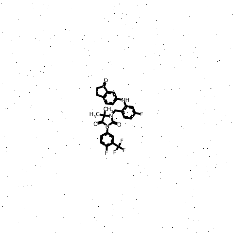 CC1(C)C(=O)N(c2ccc(F)c(C(F)(F)F)c2)C(=O)N1Cc1ccc(F)cc1Nc1ccc2c(c1)C(=O)CC2